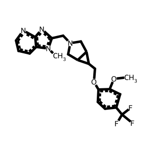 COc1cc(C(F)(F)F)ccc1OCC1C2CN(Cc3nc4ncccc4n3C)CC12